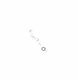 O=C(COc1ccc(C(F)F)c(Cl)c1)NC1COC(c2nnc(N3CC(OC(F)(F)F)C3)o2)OC1